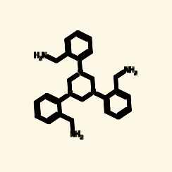 NCc1ccccc1N1CN(c2ccccc2CN)CN(c2ccccc2CN)C1